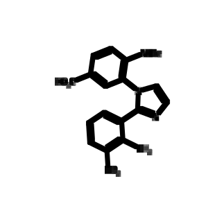 CC(=O)Nc1ccc(C(=O)O)cc1-n1ccnc1-c1cccc([N+](=O)[O-])c1N